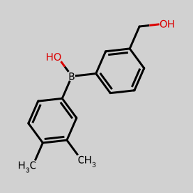 Cc1ccc(B(O)c2cccc(CO)c2)cc1C